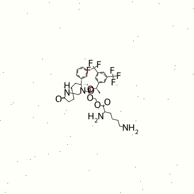 C[C@@H](OC[C@@]1(c2ccccc2)CC[C@]2(CCC(=O)N2)CN1C(=O)OCOC(=O)C(N)CCCCN)c1cc(C(F)(F)F)cc(C(F)(F)F)c1